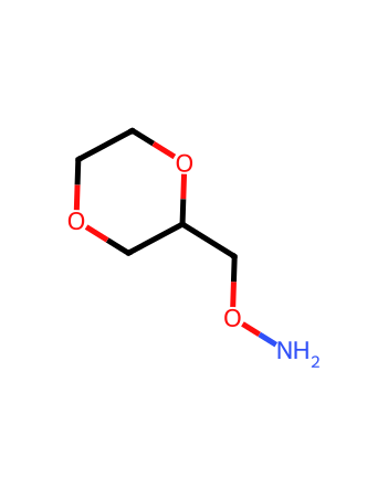 NOCC1COCCO1